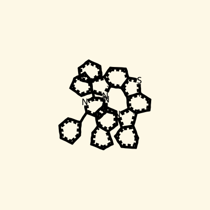 c1ccc(-c2cc(-n3c4ccccc4c4ccc5sc6ccc7c8ccccc8n(-c8ccc9ccccc9c8)c7c6c5c43)nc(-c3ccccc3)n2)cc1